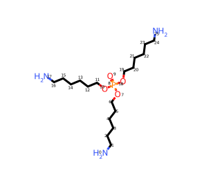 NCCCCCCOP(=O)(OCCCCCCN)OCCCCCCN